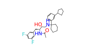 CC(=O)N[C@@H](Cc1cc(F)cc(F)c1)[C@H](O)CNC1(c2cccc(C3CCCC3)c2)CCCCC1